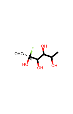 CC(O)C(O)C(O)[C@@](O)(F)C=O